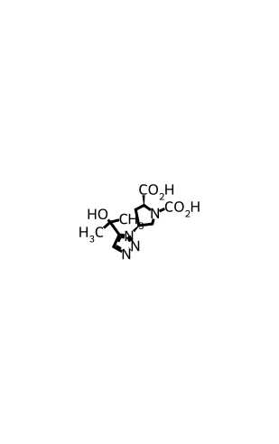 CC(C)(O)c1cnnn1[C@H]1C[C@@H](C(=O)O)N(C(=O)O)C1